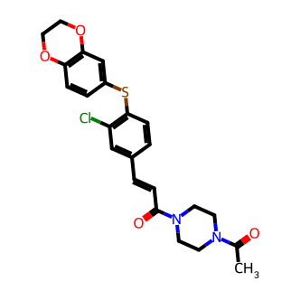 CC(=O)N1CCN(C(=O)/C=C/c2ccc(Sc3ccc4c(c3)OCCO4)c(Cl)c2)CC1